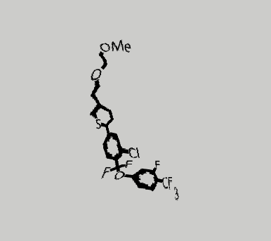 COCCOCCC1CCC(c2ccc(C(F)(F)Oc3ccc(C(F)(F)F)c(F)c3)c(Cl)c2)SC1